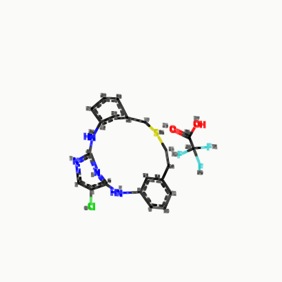 Clc1cnc2nc1Nc1cccc(c1)CCSCc1cccc(c1)N2.O=C(O)C(F)(F)F